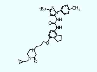 Cc1ccc(-n2nc(C(C)(C)C)cc2NC(=O)Nc2ccc(OCCCN3CCN(CC4CC4)C(=O)C3)c3c2CCC3)cc1